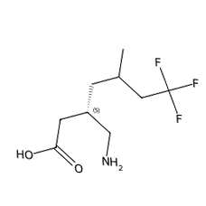 CC(C[C@H](CN)CC(=O)O)CC(F)(F)F